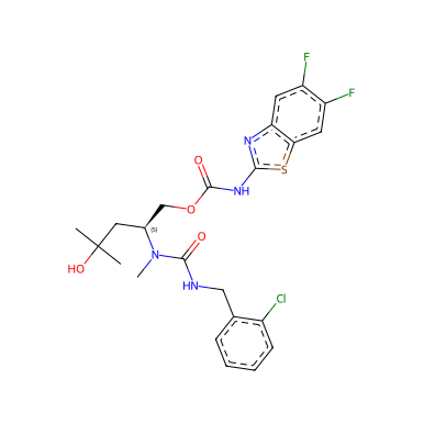 CN(C(=O)NCc1ccccc1Cl)[C@H](COC(=O)Nc1nc2cc(F)c(F)cc2s1)CC(C)(C)O